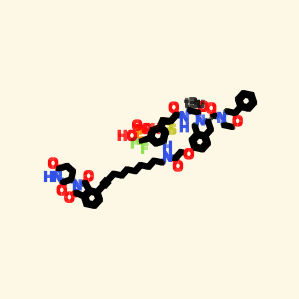 CC(C)(C)[C@H](NC(=O)c1cc2cc(C(F)(F)P(=O)(O)O)ccc2s1)C(=O)N1Cc2cc(OCC(=O)NCCCCCCCCC#Cc3cccc4c3C(=O)N(C3CCC(=O)NC3=O)C4=O)ccc2C[C@H]1C(=O)N1CCOC(c2ccccc2)C1